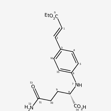 CCOC(=O)/C=C/c1ccc(N[C@@H](CCC(N)=O)C(=O)O)cc1